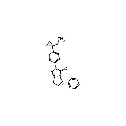 CCC1(c2ccc(-n3nc4n(c3=O)[C@H](c3ccccc3)CC4)cc2)CC1